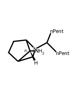 CCCCCC(CCCCC)N1CC2CCC1[C@@H]2N